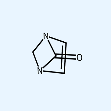 O=c1n2ccn1C2